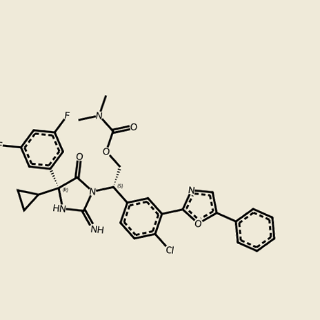 CN(C)C(=O)OC[C@H](c1ccc(Cl)c(-c2ncc(-c3ccccc3)o2)c1)N1C(=N)N[C@@](c2cc(F)cc(F)c2)(C2CC2)C1=O